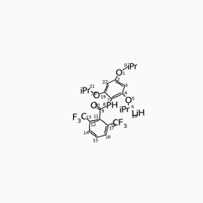 CC(C)Oc1cc(OC(C)C)c(PC(=O)c2c(C(F)(F)F)cccc2C(F)(F)F)c(OC(C)C)c1.[LiH]